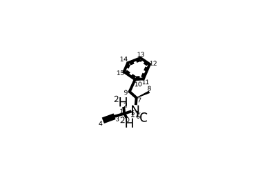 [2H]C([2H])(C#C)N([11CH3])[C@H](C)Cc1ccccc1